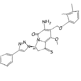 COc1c(COc2cccc(C)c2C)c(N)c(=O)n2c1C(=S)C[C@H]2n1cc(-c2ccccc2)nn1